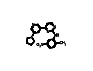 Cc1ccc([N+](=O)[O-])cc1Nc1nccc(-c2cncc(N3CCCC3)c2)n1